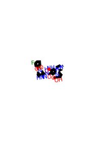 CN1CCN(c2cc(C(N)=O)c(C(=O)Nc3n[nH]c4c3CN(S(=O)(=O)c3cccc(F)c3)CC4(C)C)cc2-n2cccc2C(=O)O)CC1